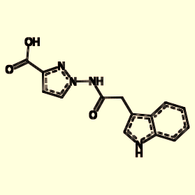 O=C(Cc1c[nH]c2ccccc12)Nn1ccc(C(=O)O)n1